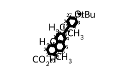 CC(C)(C)Oc1ccc(C(C)(C)c2ccc3c(c2)CCC2C(C)(C(=O)O)CCCC32C)cc1